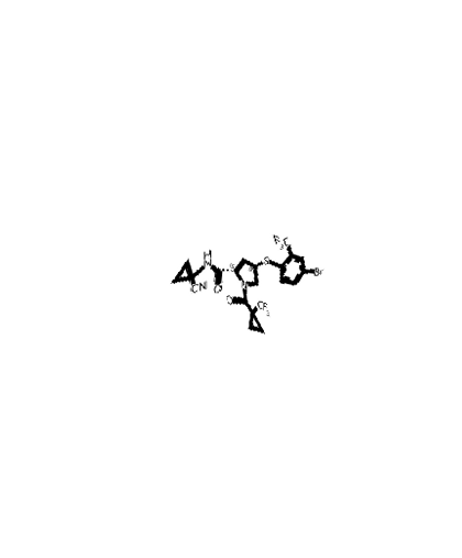 N#CC1(NC(=O)[C@@H]2C[C@@H](Sc3ccc(Br)cc3C(F)(F)F)CN2C(=O)C2(C(F)(F)F)CC2)CC1